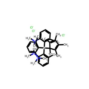 CC1=C(C)[C]([Ti+3])([Si](c2c(C)cccc2N(C)C)(c2c(C)cccc2N(C)C)c2c(C)cccc2N(C)C)C(C)=C1C.[Cl-].[Cl-].[Cl-]